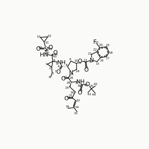 CCC1CC1(NC(=O)[C@@H]1C[C@@H](OC(=O)N2Cc3cccc(F)c3C2)CN1C(=O)[C@H](CCC(=O)C=C(C)C)NC(=O)OC(C)(C)C)C(=O)NS(=O)(=O)C1CC1